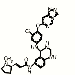 CN1CCC[C@@H]1/C=C/C(=O)Nc1ccc2c(c1)C(Nc1ccc(Oc3cc4nncn4cn3)c(Cl)c1)NCN2